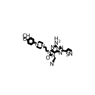 COc1ccc(N2CCN(CCn3c(=O)n(CC#N)c4c3nc(N)n3nc(-c5ccns5)nc43)CC2)cc1